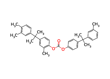 Cc1cccc(C(C)(C)c2ccc(OC(=O)Oc3ccc(C(C)(C)c4ccc(C)c(C)c4)cc3C)cc2)c1